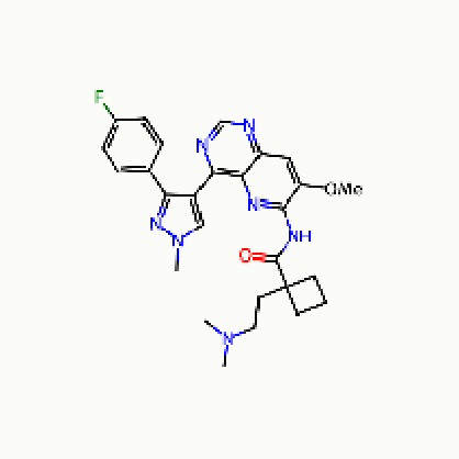 COc1cc2ncnc(-c3cn(C)nc3-c3ccc(F)cc3)c2nc1NC(=O)C1(CCN(C)C)CCC1